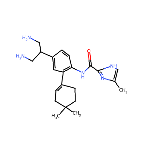 Cc1c[nH]c(C(=O)Nc2ccc(C(CN)CN)cc2C2=CCC(C)(C)CC2)n1